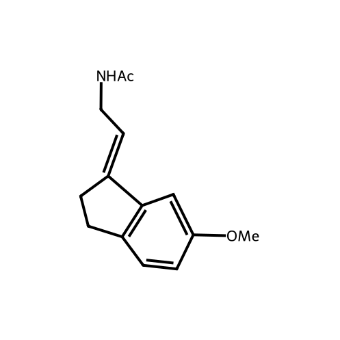 COc1ccc2c(c1)/C(=C/CNC(C)=O)CC2